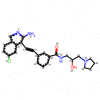 Nc1ncc2ccc(Cl)cc2c1C#Cc1cccc(C(=O)NCC(O)CN2CCCC2)c1